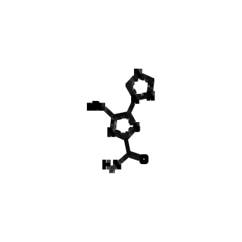 CCCCc1nc(C(N)=O)sc1-n1cncn1